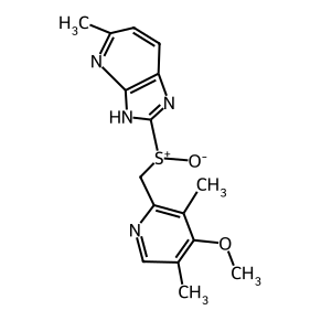 COc1c(C)cnc(C[S+]([O-])c2nc3ccc(C)nc3[nH]2)c1C